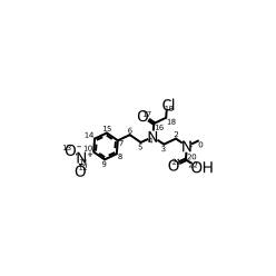 CN(CCN(CCc1ccc([N+](=O)[O-])cc1)C(=O)CCl)C(=O)O